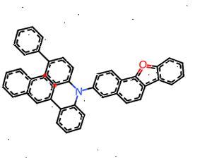 c1ccc(-c2ccc(N(c3ccc4c(ccc5c6ccccc6oc45)c3)c3ccccc3-c3ccc4ccccc4c3)cc2)cc1